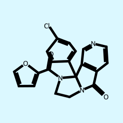 O=C(c1ccco1)N1CCN2C(=O)c3ccncc3C12c1ccc(Cl)cc1